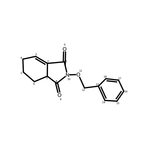 O=C1C2=CCCCC2C(=O)N1OCc1ccccc1